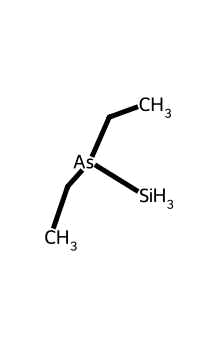 CC[As]([SiH3])CC